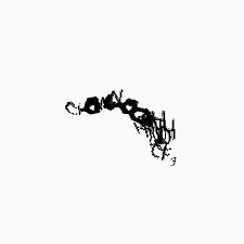 O=S1(=O)N[C@@]2(CN1CC(F)(F)F)[C@@H]1CC[C@H]2Cc2ccc(-c3cn(-c4ccc(Cl)cc4)cn3)cc2C1